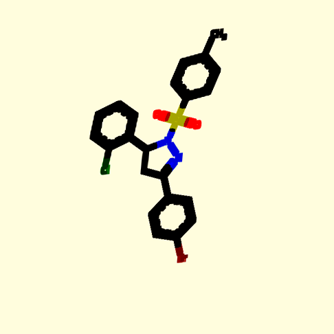 Cc1ccc(S(=O)(=O)N2N=C(c3ccc(Br)cc3)CC2c2ccccc2Cl)cc1